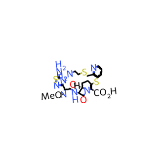 CON=C(C(=O)N[C@@H]1C(=O)N2C(C(=O)O)=C(Sc3cccnc3CSCCN)CC[C@H]12)c1nsc(N)n1